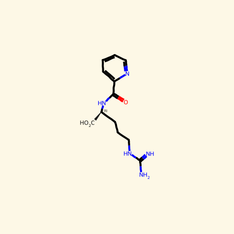 N=C(N)NCCC[C@H](NC(=O)c1ccccn1)C(=O)O